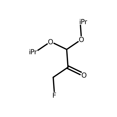 CC(C)OC(OC(C)C)C(=O)CF